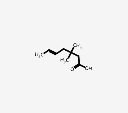 CC=CCC(C)(C)CC(=O)O